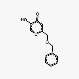 O=c1cc(COCc2ccccc2)occ1O